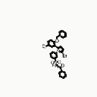 CCc1ccc(-c2cc(Cl)ccc2OCc2ccccc2)n1-c1cccc(S(=O)(=O)NC(=O)c2ccccc2)c1